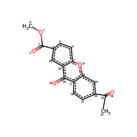 COC(=O)c1ccc2oc3cc(C(C)=O)ccc3c(=O)c2c1